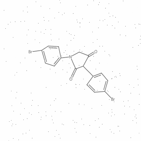 O=C1CN(c2ccc(Br)cc2)C(=O)C1c1ccc(Br)cc1